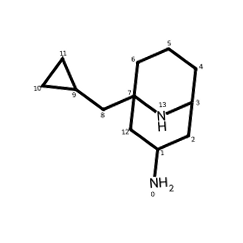 NC1CC2CCCC(CC3CC3)(C1)N2